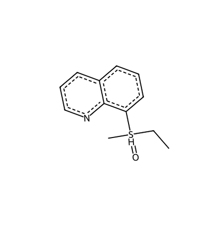 CC[SH](C)(=O)c1cccc2cccnc12